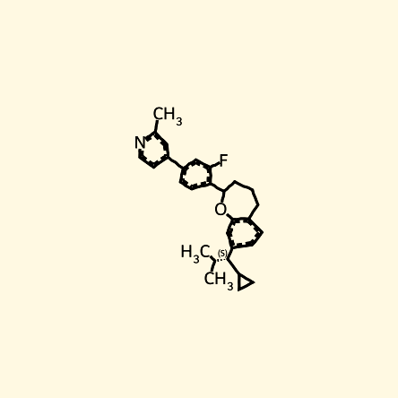 Cc1cc(-c2ccc(C3CCCc4ccc([C@@H](C(C)C)C5CC5)cc4O3)c(F)c2)ccn1